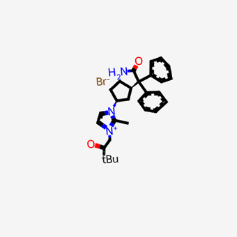 Cc1n([C@H]2CC[C@@H](C(C(N)=O)(c3ccccc3)c3ccccc3)C2)cc[n+]1CC(=O)C(C)(C)C.[Br-]